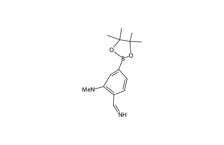 CNc1cc(B2OC(C)(C)C(C)(C)O2)ccc1C=N